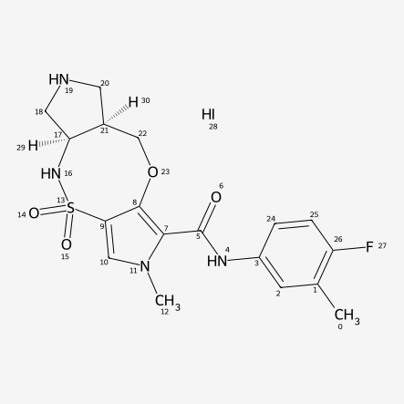 Cc1cc(NC(=O)c2c3c(cn2C)S(=O)(=O)N[C@H]2CNC[C@H]2CO3)ccc1F.I